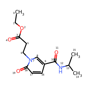 CCOC(=O)CCn1cc(C(=O)NC(C)C)ccc1=O